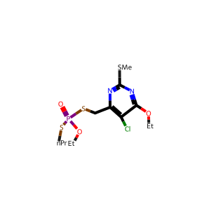 CCCSP(=O)(OCC)SCc1nc(SC)nc(OCC)c1Cl